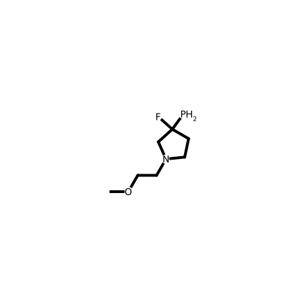 COCCN1CCC(F)(P)C1